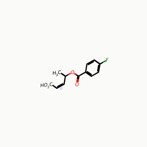 CC(/C=C\C(=O)O)OC(=O)c1ccc(F)cc1